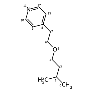 CC(C)CCOCCc1ccncc1